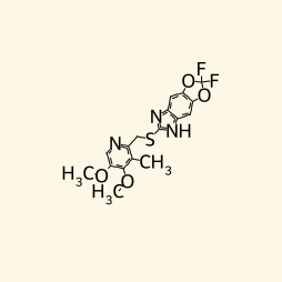 COc1cnc(CSc2nc3cc4c(cc3[nH]2)OC(F)(F)O4)c(C)c1OC